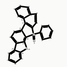 O=P1(c2ccccc2)c2ccc3ccccc3c2-c2ccc3c(sc4ccccc43)c21